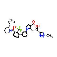 CCC[C@@H]1CCCCN1C(=O)c1cccc(-c2cccc(-n3ccc(C(=O)O)c3C[C@@H]3C[C@H]3c3cn(C)nn3)c2)c1C(F)(F)F